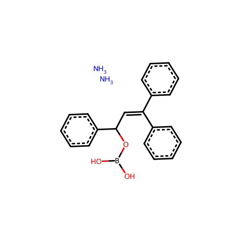 N.N.OB(O)OC(C=C(c1ccccc1)c1ccccc1)c1ccccc1